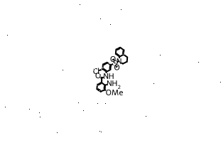 COc1cccc(C(=O)Nc2cc(S(=O)(=O)N3CCCc4ccccc43)ccc2Cl)c1N